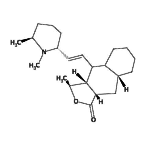 C[C@@H]1OC(=O)[C@H]2C[C@H]3CCCCC3C(/C=C/[C@H]3CCC[C@H](C)N3C)[C@@H]12